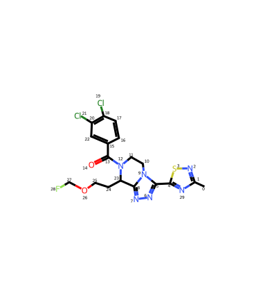 Cc1nsc(-c2nnc3n2CCN(C(=O)c2ccc(Cl)c(Cl)c2)C3CCOCF)n1